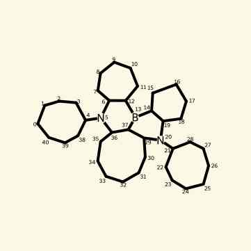 C1CCCC(N2C3CCCCCC3B3C4CCCCC4N(C4CCCCCCC4)C4CCCCCCC2C34)CCC1